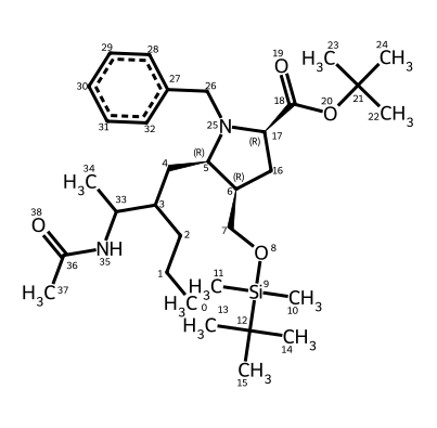 CCCC(C[C@@H]1[C@H](CO[Si](C)(C)C(C)(C)C)C[C@H](C(=O)OC(C)(C)C)N1Cc1ccccc1)C(C)NC(C)=O